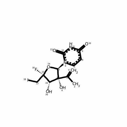 C=C(C)[C@]1(O)[C@H](n2ccc(=O)[nH]c2=O)O[C@](F)(CI)[C@H]1O